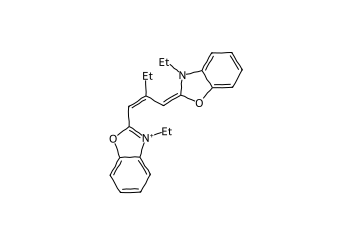 CCC(=Cc1oc2ccccc2[n+]1CC)C=C1Oc2ccccc2N1CC